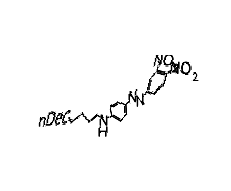 CCCCCCCCCCCCCCNc1ccc(N=Nc2ccc([N+](=O)[O-])c([N+](=O)[O-])c2)cc1